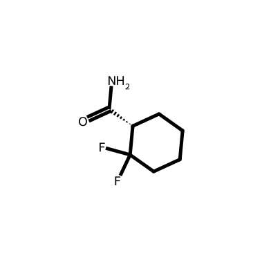 NC(=O)[C@@H]1CCCCC1(F)F